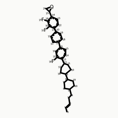 C/C=C/CCC1CCC(C2CCC(c3ccc(-c4ccc(-c5ccc(C6CO6)c(F)c5F)cc4)cc3F)CC2)CC1